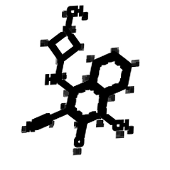 CN1CC(Nc2c(C#N)c(=O)n(C)c3ccccc23)C1